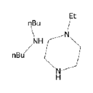 CCCCNCCCC.CCN1CCNCC1